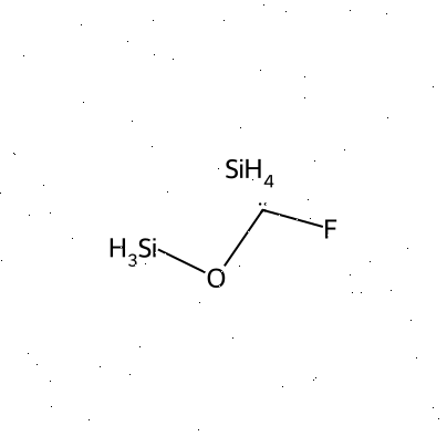 F[C]O[SiH3].[SiH4]